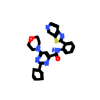 O=C(Nc1ccccc1-c1nc2ccncc2s1)c1cc(N2CCOCC2)nc(-c2ccccc2)n1